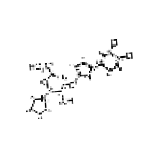 O=C(O)C(=O)OC(C(O)COc1ccn(-c2ccc(Cl)c(Cl)c2)n1)N1CCCC1